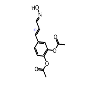 CC(=O)Oc1ccc(/C=C/C=NO)cc1OC(C)=O